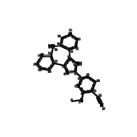 CSc1nc(-c2nc3c([nH]2)-c2ccncc2Nc2ncccc2-3)ccc1C#N